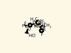 CNC(=O)C(NC(=O)c1nc(-c2ccc(OC(F)F)c(OCC3CC3)c2)oc1[C@H](C)N)c1ccc(F)cc1F.Cl